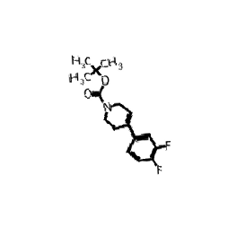 CC(C)(C)OC(=O)N1CC=C(c2ccc(F)c(F)c2)CC1